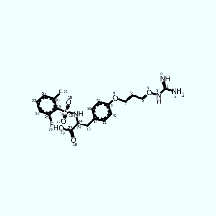 N=C(N)NOCCCOc1ccc(C[C@H](NS(=O)(=O)c2c(F)cccc2F)C(=O)O)cc1